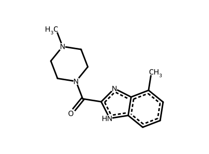 Cc1cccc2[nH]c(C(=O)N3CCN(C)CC3)nc12